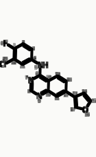 Fc1ccc(Nc2ncnc3cc(-c4ccoc4)ccc23)cc1Cl